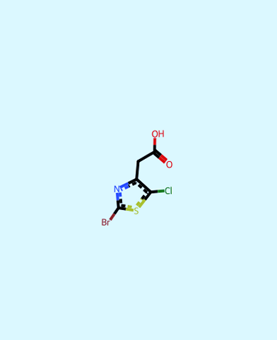 O=C(O)Cc1nc(Br)sc1Cl